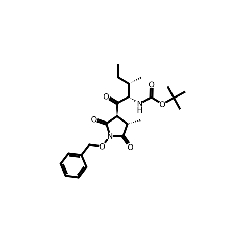 CC[C@H](C)[C@H](NC(=O)OC(C)(C)C)C(=O)[C@@H]1C(=O)N(OCc2ccccc2)C(=O)[C@H]1C